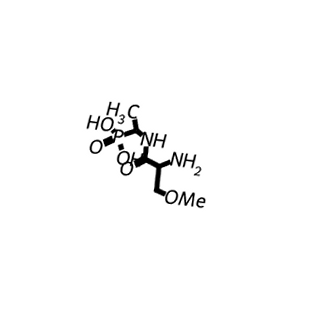 COCC(N)C(=O)NC(C)P(=O)(O)O